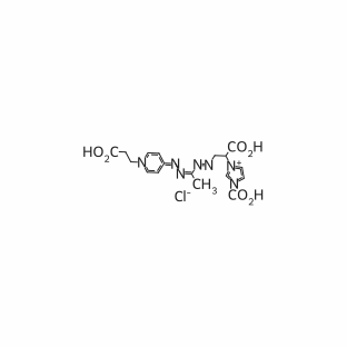 CC(N=NCC(C(=O)O)[n+]1ccn(C(=O)O)c1)=NN=c1ccn(CCC(=O)O)cc1.[Cl-]